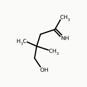 CC(=N)CC(C)(C)CO